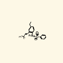 CCc1ccc(NS(=O)(=O)c2ccccc2)c(C=CC(=O)O)c1